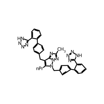 CCCc1c(Cc2ccc(-c3ccccc3-c3nnn[nH]3)cc2)c2nc(C)nn2n1Cc1ccc(-c2ccccc2-c2nnn[nH]2)cc1